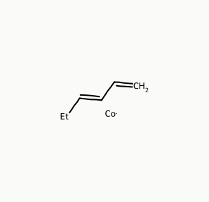 C=CC=CCC.[Co]